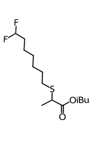 CC(C)COC(=O)C(C)SCCCCCCC(F)F